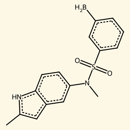 Bc1cccc(S(=O)(=O)N(C)c2ccc3[nH]c(C)cc3c2)c1